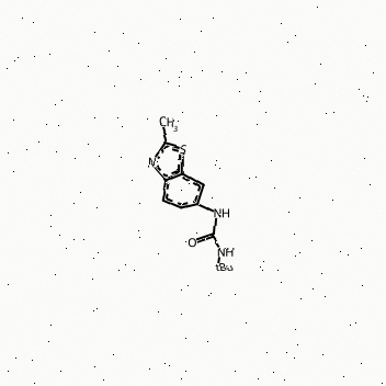 Cc1nc2ccc(NC(=O)NC(C)(C)C)cc2s1